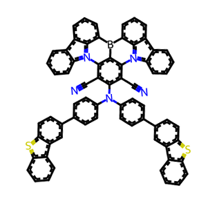 N#Cc1c(N(c2ccc(-c3ccc4sc5ccccc5c4c3)cc2)c2ccc(-c3ccc4sc5ccccc5c4c3)cc2)c(C#N)c2c3c1-n1c4ccccc4c4cccc(c41)B3c1cccc3c4ccccc4n-2c13